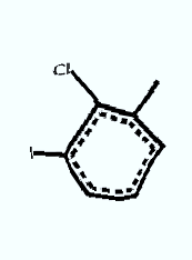 Cc1cccc(I)c1Cl